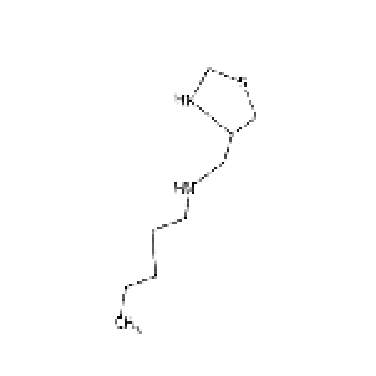 CCCCCNCC1CSCN1